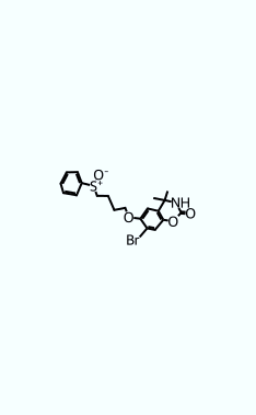 CC1(C)NC(=O)Oc2cc(Br)c(OCCCC[S+]([O-])c3ccccc3)cc21